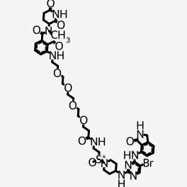 CN(C(=O)c1cccc(NCCOCCOCCOCCOCCC(=O)NCC[S+]([O-])N2CCC(Nc3ncc(Br)c(Nc4cccc5c4C(=O)NC5)n3)CC2)c1C=O)C1CCC(=O)NC1=O